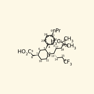 CCCc1ccc([C@@H]2C[C@H](CC(=O)O)CCN2[C@@H](CCC(F)(F)F)CC[Si](C)(C)C)cc1